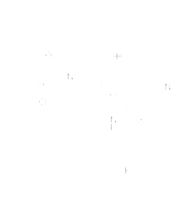 CCC(C(=O)O)N(C(=O)OC(C)(C)C)c1cc(NS(=O)(=O)c2cncc(C)c2)c(-c2cccc(F)c2)cc1Cl